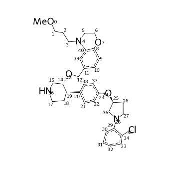 COCCCN1CCOc2ccc(CO[C@H]3CNCC[C@@H]3c3ccc(O[C@H]4CCN(c5ccccc5Cl)C4)cc3)cc21